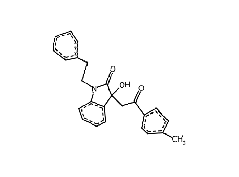 Cc1ccc(C(=O)CC2(O)C(=O)N(CCc3ccccc3)c3ccccc32)cc1